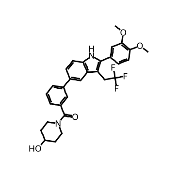 COc1ccc(-c2[nH]c3ccc(-c4cccc(C(=O)N5CCC(O)CC5)c4)cc3c2CC(F)(F)F)cc1OC